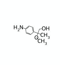 COC(C)(CO)c1ccc(N)cc1